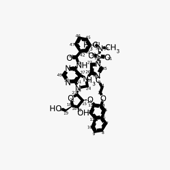 CCCOc1cc2ccccc2cc1O[C@@H]1[C@H](O)[C@@H](CO)O[C@H]1N1CN(c2cn(S(=O)(=O)N(C)C)cn2)c2c(NC(=O)c3ccccc3)ncnc21